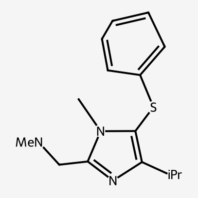 CNCc1nc(C(C)C)c(Sc2ccccc2)n1C